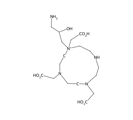 NCC(O)C[N+]1(CC(=O)O)CCNCCN(CC(=O)O)CCN(CC(=O)O)CC1